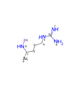 CC(=O)C(CCCNC(=N)N)NI